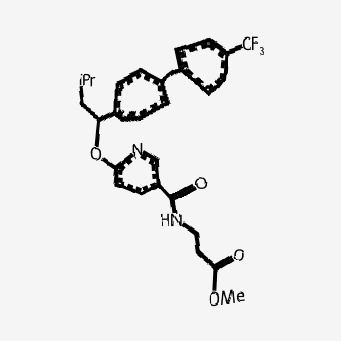 COC(=O)CCNC(=O)c1ccc(OC(CC(C)C)c2ccc(-c3ccc(C(F)(F)F)cc3)cc2)nc1